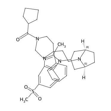 Cc1nc2cc(S(C)(=O)=O)ccc2n1C1C[C@H]2CC[C@@H](C1)N2CCC1(c2ccccc2)CCN(C(=O)C2CCCC2)CC1